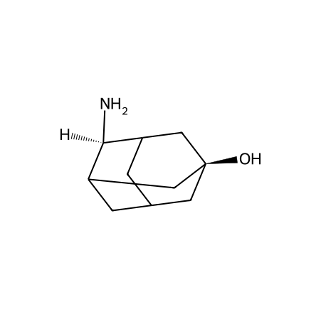 N[C@H]1C2CC3CC1C[C@@](O)(C3)C2